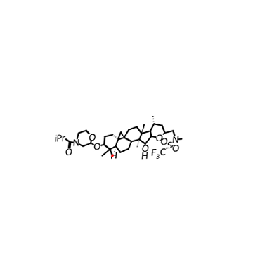 CC(C)C(=O)N1CCO[C@@H](OC2CC[C@]34C[C@]35CC[C@]3(C)C6C(OC(CN(C)S(=O)(=O)C(F)(F)F)C[C@H]6C)[C@H](O)[C@@]3(C)C5CC[C@H]4C2(C)C)C1